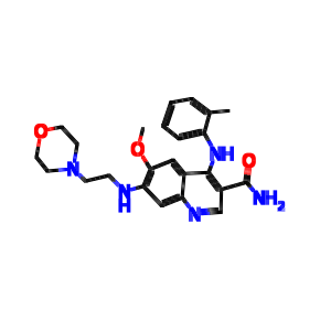 COc1cc2c(Nc3ccccc3C)c(C(N)=O)cnc2cc1NCCN1CCOCC1